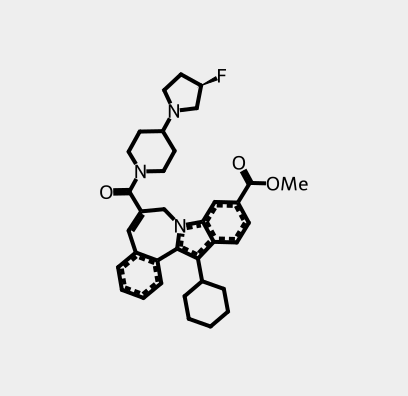 COC(=O)c1ccc2c(C3CCCCC3)c3n(c2c1)CC(C(=O)N1CCC(N2CC[C@@H](F)C2)CC1)=Cc1ccccc1-3